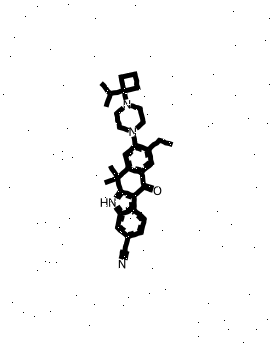 CCc1cc2c(cc1N1CCN(C3(C(C)C)CCC3)CC1)C(C)(C)c1[nH]c3cc(C#N)ccc3c1C2=O